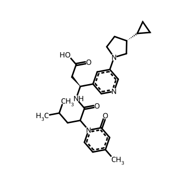 Cc1ccn(C(CC(C)C)C(=O)N[C@@H](CC(=O)O)c2cncc(N3CC[C@H](C4CC4)C3)c2)c(=O)c1